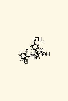 CCc1ccc(-n2c(C(=O)O)cnc2SCc2c(F)cccc2Cl)cc1